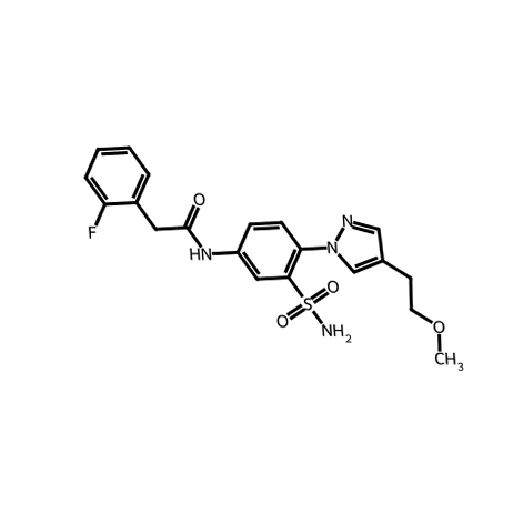 COCCc1cnn(-c2ccc(NC(=O)Cc3ccccc3F)cc2S(N)(=O)=O)c1